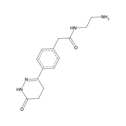 NCCNC(=O)Cc1ccc(C2=NNC(=O)CC2)cc1